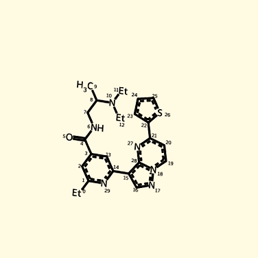 CCc1cc(C(=O)NCC(C)N(CC)CC)cc(-c2cnn3ccc(-c4cccs4)nc23)n1